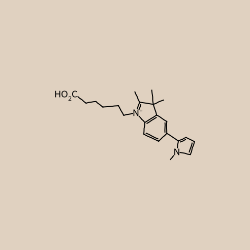 CC1=[N+](CCCCCC(=O)O)c2ccc(-c3cccn3C)cc2C1(C)C